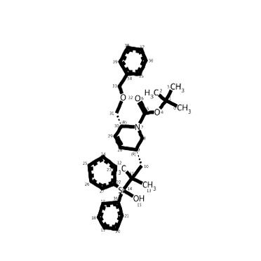 CC(C)(C)OC(=O)N1C[C@H](CC(C)(C)[Si](O)(c2ccccc2)c2ccccc2)C=C[C@@H]1COCc1ccccc1